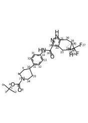 CC(C)(C)OC(=O)N1CCC(c2ccc(NC(=O)c3n[nH]c4c3C[C@@H]3C(F)(F)[C@]3(C)C4)cc2)CC1